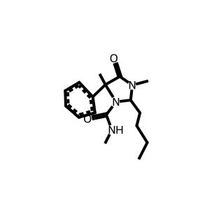 CCCCC1N(C)C(=O)C(C)(c2ccccc2)N1C(=O)NC